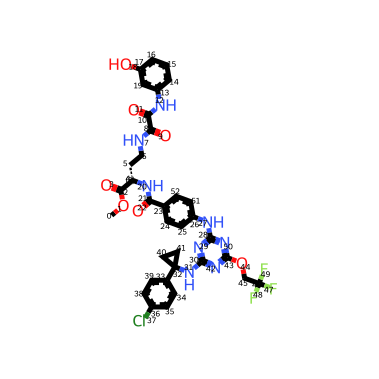 COC(=O)[C@H](CCNC(=O)C(=O)Nc1cccc(O)c1)NC(=O)c1ccc(Nc2nc(NC3(c4ccc(Cl)cc4)CC3)nc(OCC(F)(F)F)n2)cc1